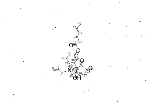 C=CCN1CCC23C4OC5=C(OC(=O)CC/C=C/C)C=CC(CC1C2(O)CCC4=O)C53